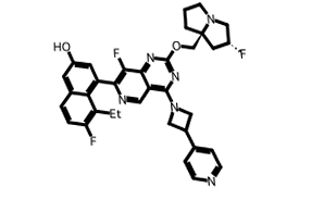 CCc1c(F)ccc2cc(O)cc(-c3ncc4c(N5CC(c6ccncc6)C5)nc(OC[C@@]56CCCN5C[C@H](F)C6)nc4c3F)c12